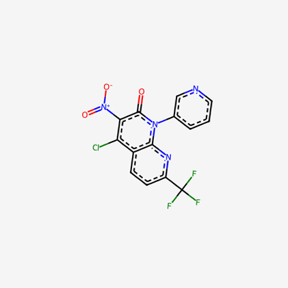 O=c1c([N+](=O)[O-])c(Cl)c2ccc(C(F)(F)F)nc2n1-c1cccnc1